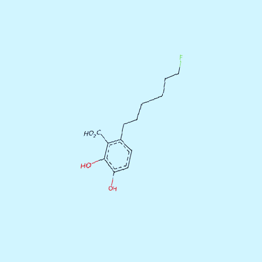 O=C(O)c1c(CCCCCCF)ccc(O)c1O